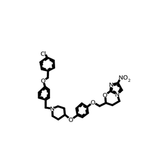 O=[N+]([O-])c1cn2c(n1)OC(COc1ccc(OC3CCN(Cc4ccc(OCc5ccc(Cl)cc5)cc4)CC3)cc1)CC2